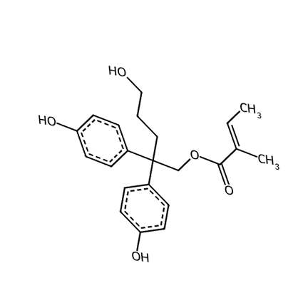 CC=C(C)C(=O)OCC(CCCO)(c1ccc(O)cc1)c1ccc(O)cc1